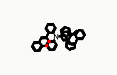 c1ccc(N(c2ccc3c(c2)-c2c4cccc2-c2cccc-3c2-c2ccccc2-4)c2ccccc2-c2ccc3ccccc3c2)cc1